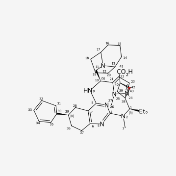 CC[C@@H](N(C)c1nc2c(c(N[C@@H](CN3C4CCCC3CCC4)c3ccnn3C)n1)C[C@H](c1ccccc1)CC2)C12CC(C(=O)O)(C1)C2